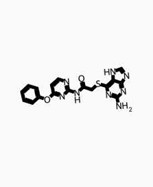 Nc1nc(SCC(=O)Nc2nccc(Oc3ccccc3)n2)c2[nH]cnc2n1